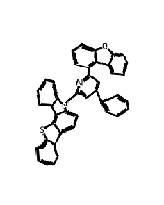 c1ccc(-c2cc(-c3cccc4oc5ccccc5c34)nc(-n3c4ccccc4c4c5sc6ccccc6c5ccc43)c2)cc1